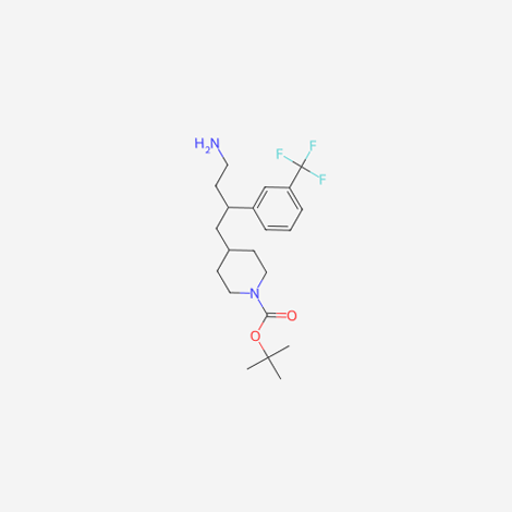 CC(C)(C)OC(=O)N1CCC(CC(CCN)c2cccc(C(F)(F)F)c2)CC1